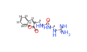 N=C(N)NCNC(=O)NCc1cc2ccccc2oc1=O